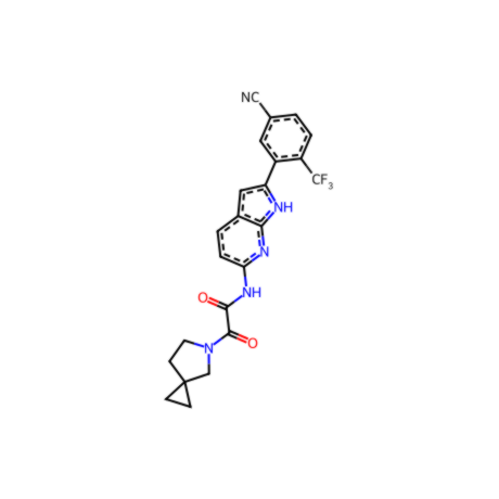 N#Cc1ccc(C(F)(F)F)c(-c2cc3ccc(NC(=O)C(=O)N4CCC5(CC5)C4)nc3[nH]2)c1